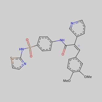 COc1ccc(/C=C(\C(=O)Nc2ccc(S(=O)(=O)Nc3nccs3)cc2)c2cccnc2)cc1OC